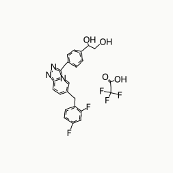 O=C(O)C(F)(F)F.OCC(O)c1ccc(-c2nnc3ccc(Cc4ccc(F)cc4F)cn23)cc1